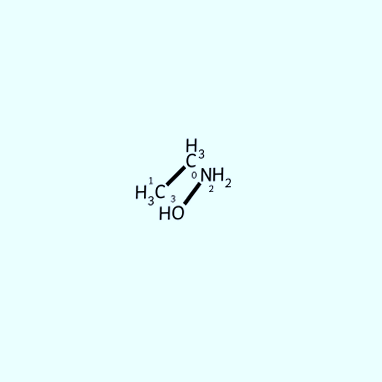 CC.NO